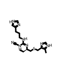 CC[C@H](CSCc1nc[nH]c1C)N=C(NC#N)NCCCc1c[nH]cn1